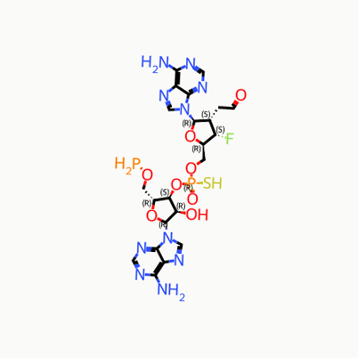 Nc1ncnc2c1ncn2[C@@H]1O[C@H](COP)[C@@H](O[P@](=O)(S)OC[C@H]2O[C@@H](n3cnc4c(N)ncnc43)[C@H](CC=O)[C@@H]2F)[C@H]1O